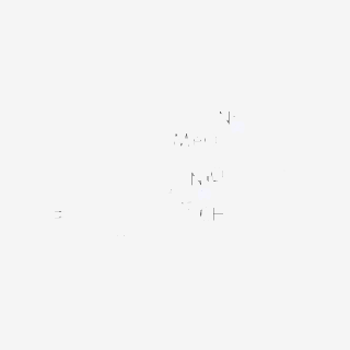 CO/N=C\c1ccccc1CO/N=C(\C)C#Cc1ccc(F)cc1